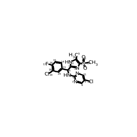 Cc1[nH]c(C(Nc2ncc(Cl)cn2)c2ccc(F)c(Cl)c2)nc1S(C)(=O)=O